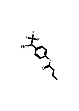 CCCC(=O)Nc1ccc(C(O)C(F)(F)F)cc1